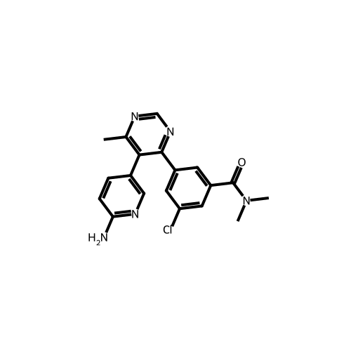 Cc1ncnc(-c2cc(Cl)cc(C(=O)N(C)C)c2)c1-c1ccc(N)nc1